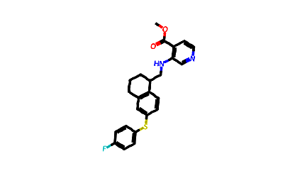 COC(=O)c1ccncc1NCC1CCCc2cc(Sc3ccc(F)cc3)ccc21